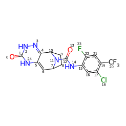 O=C1NN=C2C(=CC3CCC2N3C(=O)Nc2cc(Cl)c(C(F)(F)F)cc2F)N1